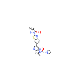 Cc1ncc(-c2ccc3nc(NC(C)O)sc3c2)cc1NC(=O)CN1CCCC1